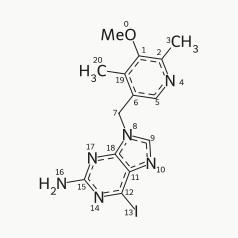 COc1c(C)ncc(Cn2cnc3c(I)nc(N)nc32)c1C